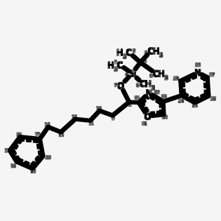 CC(C)(C)[Si](C)(C)OC(CCCCCCc1ccccc1)c1nc(-c2cccnc2)co1